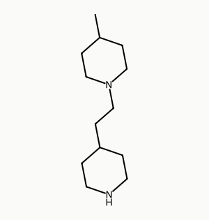 CC1CCN(CCC2CCNCC2)CC1